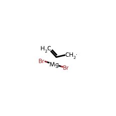 [Br][Mg][Br].[CH2]C=C